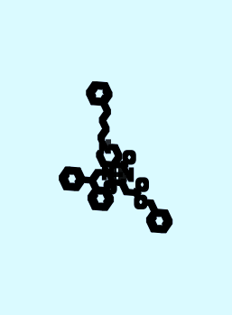 O=C(CC1NC(=O)C2(CCN(CCCCc3ccccc3)CC2)N(CC(c2ccccc2)c2ccccc2)C1=O)OCc1ccccc1